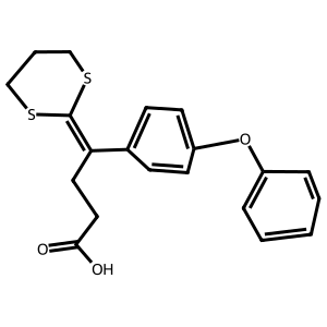 O=C(O)CCC(=C1SCCCS1)c1ccc(Oc2ccccc2)cc1